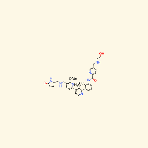 COc1nc(-c2ccnc(-c3cccc(NC(=O)c4ccc(CNCCO)cn4)c3C)c2C)ccc1CNCC1CCC(=O)N1